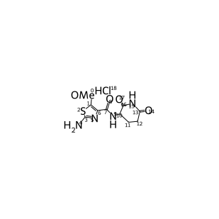 COc1sc(N)nc1C(=O)NC1CCC(=O)NC1=O.Cl